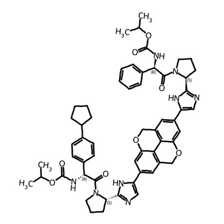 CC(C)OC(=O)N[C@@H](C(=O)N1CCC[C@H]1c1ncc(-c2cc3c4c(c2)OCc2cc(-c5cnc([C@@H]6CCCN6C(=O)[C@H](NC(=O)OC(C)C)c6ccc(C7CCCC7)cc6)[nH]5)cc(c2-4)OC3)[nH]1)c1ccccc1